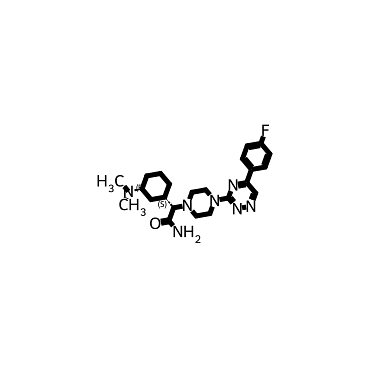 CN(C)[C@@H]1CCC[C@H](C(C(N)=O)N2CCN(c3nncc(-c4ccc(F)cc4)n3)CC2)C1